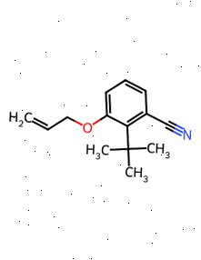 C=CCOc1cccc(C#N)c1C(C)(C)C